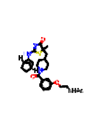 CC(=O)NCCOc1cccc(C(=O)N2CCC(CC3(C)SC(N[C@H]4C[C@@H]5CC[C@H]4C5)=NC3=O)CC2)c1